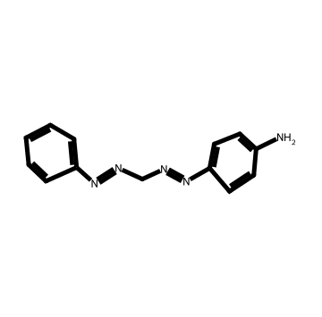 Nc1ccc(N=NCN=Nc2ccccc2)cc1